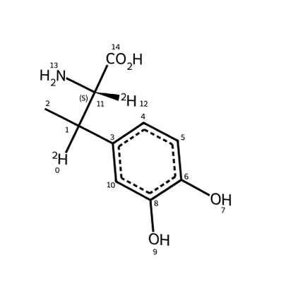 [2H]C(C)(c1ccc(O)c(O)c1)[C@]([2H])(N)C(=O)O